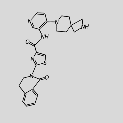 O=C(Nc1cnccc1N1CCC2(CC1)CNC2)c1csc(N2CCc3ccccc3C2=O)n1